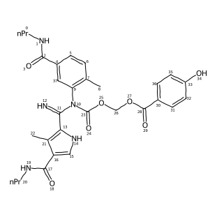 CCCNC(=O)c1ccc(C)c(N(C(=N)c2[nH]cc(C(=O)NCCC)c2C)C(=O)OCOC(=O)c2ccc(O)cc2)c1